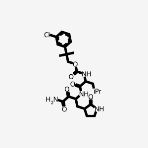 CC(C)CC(NC(=O)OCC(C)(C)c1cccc(Cl)c1)C(=O)NC(CC1CCNC1=O)C(=O)C(N)=O